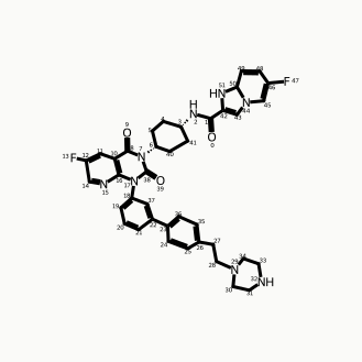 O=C(N[C@H]1CC[C@@H](n2c(=O)c3cc(F)cnc3n(-c3cccc(-c4ccc(CCN5CCNCC5)cc4)c3)c2=O)CC1)C1=CN2C=C(F)C=CC2N1